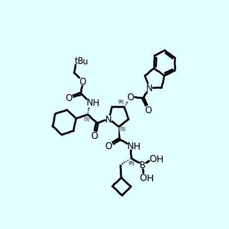 CC(C)(C)COC(=O)N[C@H](C(=O)N1C[C@H](OC(=O)N2Cc3ccccc3C2)C[C@H]1C(=O)N[C@@H](CC1CCC1)B(O)O)C1CCCCC1